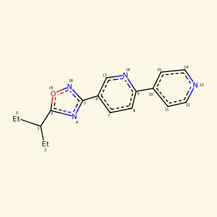 CCC(CC)c1nc(-c2ccc(-c3ccncc3)nc2)no1